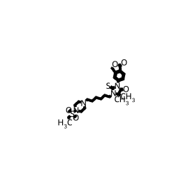 CCS(=O)(=O)N1CCN(CCCCCCN2C(=S)N(c3ccc4c(c3)COC4=O)C(=O)C2(C)C)CC1